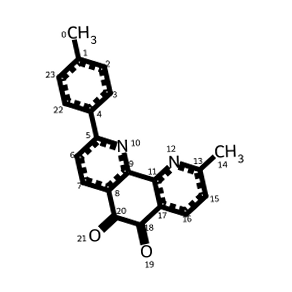 Cc1ccc(-c2ccc3c(n2)-c2nc(C)ccc2C(=O)C3=O)cc1